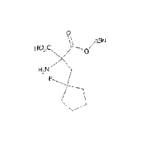 CCCCOC(=O)C(N)(CC1(F)CCCC1)C(=O)O